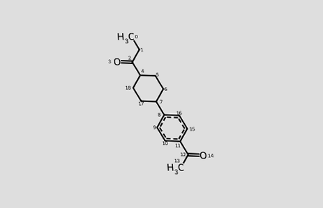 CCC(=O)C1CCC(c2ccc(C(C)=O)cc2)CC1